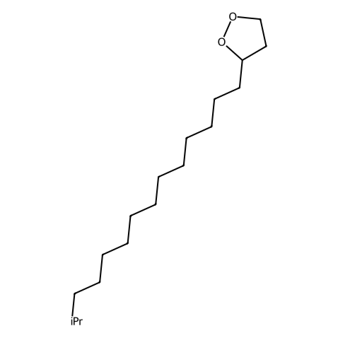 CC(C)CCCCCCCCCCCCC1CCOO1